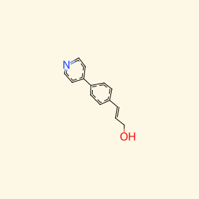 OC/C=C/c1ccc(-c2ccncc2)cc1